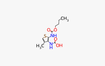 CCCCOC(=O)Nc1scc(C)c1NC(=O)O